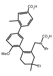 CCC1(C)CCC(c2cc(-c3ccc(C(=O)O)cc3C)ccc2OC)=C(CN(C(=O)O)C(C)C)C1